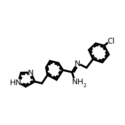 NC(=NCc1ccc(Cl)cc1)c1cccc(Cc2c[nH]cn2)c1